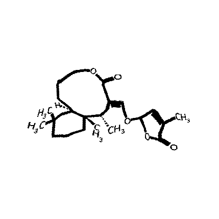 CC1=CC(O/C=C2/C(=O)OCCC[C@@H]3C(C)(C)CCC[C@@]3(C)[C@H]2C)OC1=O